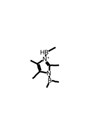 CB[n+]1c(C)c(C)n(B(C)C)c1C